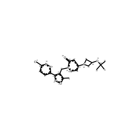 Cc1onc(-c2ccc(Cl)nn2)c1Cn1ncc(N2CC(OC(C)(C)C)C2)cc1=O